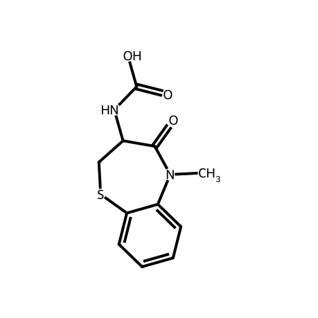 CN1C(=O)C(NC(=O)O)CSc2ccccc21